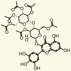 CC(=O)OC[C@H]1O[C@@H](O[C@H]2[C@H](OC(C)=O)[C@@H](O)[C@H](Oc3c(-c4cc(O)c(O)c(O)c4)oc4cc(O)cc(O)c4c3=O)O[C@@H]2COC(C)=O)[C@H](OC(C)=O)[C@@H](OC(C)=O)[C@H]1OC(C)=O